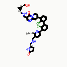 COc1nc(-c2cccc(-c3cccc(-c4ccn5c(=O)c(CNC[C@@H]6C[C@H]6CO)cnc5c4)c3Cl)c2Cl)ccc1CNC[C@H]1CCC(=O)N1